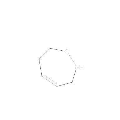 [C]1=CCNOCC1